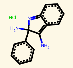 Cl.NC1=c2ccccc2=NC1(N)c1ccccc1